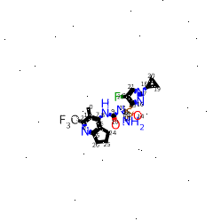 Cc1c(C(F)(F)F)nc2c(c1NC(=O)N=[S@@](N)(=O)c1nn(C3CC3)cc1F)CCC2